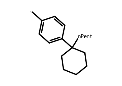 [CH2]c1ccc(C2(CCCCC)CCCCC2)cc1